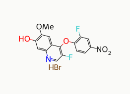 Br.COc1cc2c(Oc3ccc([N+](=O)[O-])cc3F)c(F)cnc2cc1O